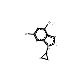 O=C(O)c1cc(Br)cc2c1cnn2C1CC1